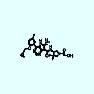 Cc1[nH]c2c(-c3cc(F)ccc3OCC3CC3)ncnc2c1C(=O)NC1CN(C(=O)CO)CC1(F)F